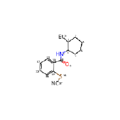 CCC1CCCCC1NC(=O)c1ccccc1SC#N